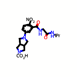 CC(C)NC(=O)CNC(=O)c1cc(N2CC3CN(C(=O)O)CC3C2)ccc1[N+](=O)[O-]